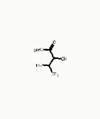 COC(=O)C(C#N)C(O)C(F)(F)F